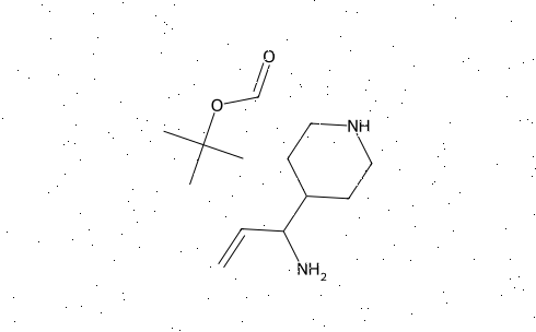 C=CC(N)C1CCNCC1.CC(C)(C)OC=O